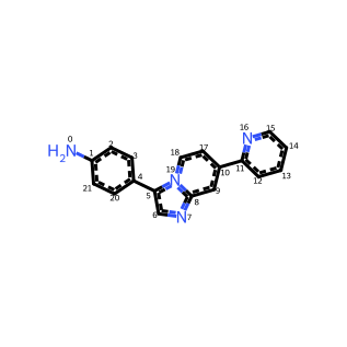 Nc1ccc(-c2cnc3cc(-c4ccccn4)ccn23)cc1